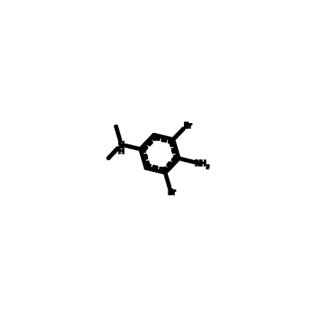 C[SiH](C)c1cc(Br)c(N)c(Br)c1